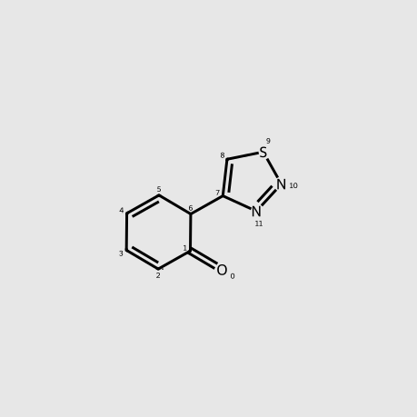 O=C1[C]=CC=CC1c1csnn1